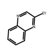 C[CH]c1cnc2ccccc2n1